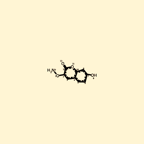 NOc1cc2ccc(O)cc2oc1=O